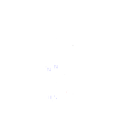 CC(C)c1ccc(-n2cc(C(N)=O)cn2)cc1